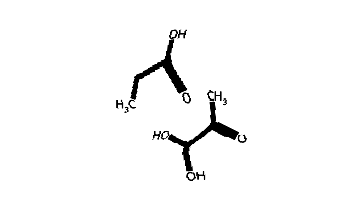 CC(=O)C(O)O.CCC(=O)O